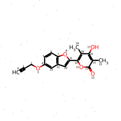 C#CCOc1ccc2oc(-c3oc(=O)c(C)c(O)c3C)cc2c1